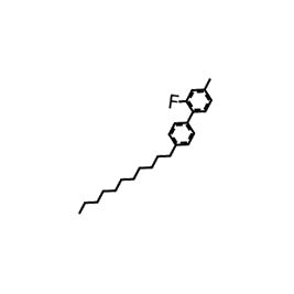 CCCCCCCCCCCc1ccc(-c2ccc(C)cc2F)cc1